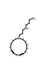 NCCCNCCCN1CCCC/C=C\C/C=C\CCCCC1